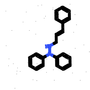 C(=Cc1ccccc1)CNN(c1ccccc1)c1ccccc1